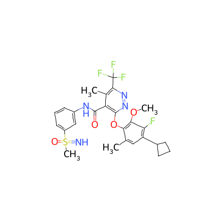 COc1c(F)c(C2CCC2)cc(C)c1Oc1nnc(C(F)(F)F)c(C)c1C(=O)Nc1cccc(S(C)(=N)=O)c1